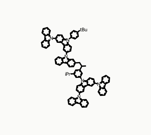 CC(C)c1cc(C(C)Cc2ccc3c4ccccc4n(-c4ccc5c(c4)c4cc(-n6c7ccccc7c7ccccc76)ccc4n5-c4ccc(C(C)(C)C)cc4)c3c2)cc(-n2c3ccc(-n4c5ccccc5c5ccccc54)cc3c3cc(-n4c5ccccc5c5ccccc54)ccc32)c1